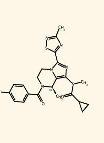 Cc1nsc(-c2nc(N(C)C(=O)C3CC3)c3n2CCN(C(=O)c2ccc(F)cc2)[C@@H]3C)n1